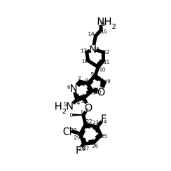 C[C@@H](Oc1c(N)ncc2c(C3=CCN(CCN)CC3)coc12)c1c(F)ccc(F)c1Cl